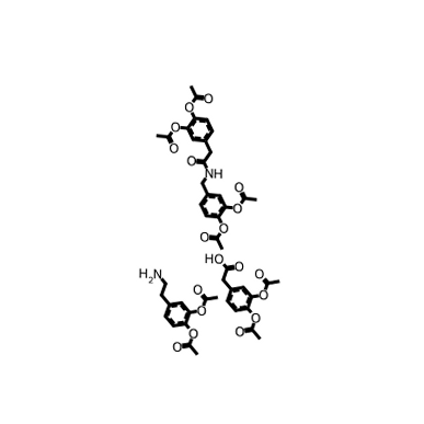 CC(=O)Oc1ccc(CC(=O)O)cc1OC(C)=O.CC(=O)Oc1ccc(CCN)cc1OC(C)=O.CC(=O)Oc1ccc(CNC(=O)Cc2ccc(OC(C)=O)c(OC(C)=O)c2)cc1OC(C)=O